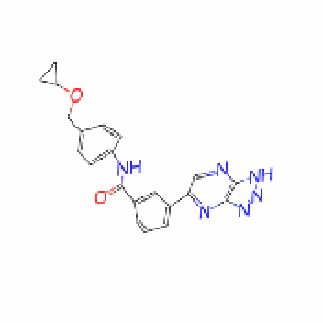 O=C(Nc1ccc(COC2CC2)cc1)c1cccc(-c2cnc3[nH]nnc3n2)c1